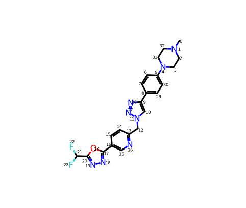 CN1CCN(c2ccc(-c3cn(Cc4ccc(-c5nnc(C(F)F)o5)cn4)nn3)cc2)CC1